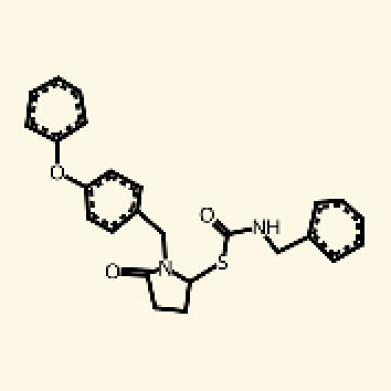 O=C(NCc1ccccc1)SC1CCC(=O)N1Cc1ccc(Oc2ccccc2)cc1